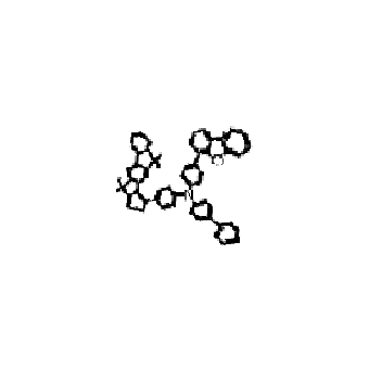 CC1(C)c2ccccc2-c2cc3c(cc21)-c1c(-c2ccc(N(c4ccc(-c5ccccc5)cc4)c4ccc(-c5cccc6c5oc5ccccc56)cc4)cc2)cccc1C3(C)C